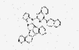 c1ccc2cc(-c3nc(-n4c5ccccc5c5cc6c7c8ccccc8ccc7n7c8ccccc8c(c54)c67)nc4ccccc34)ccc2c1